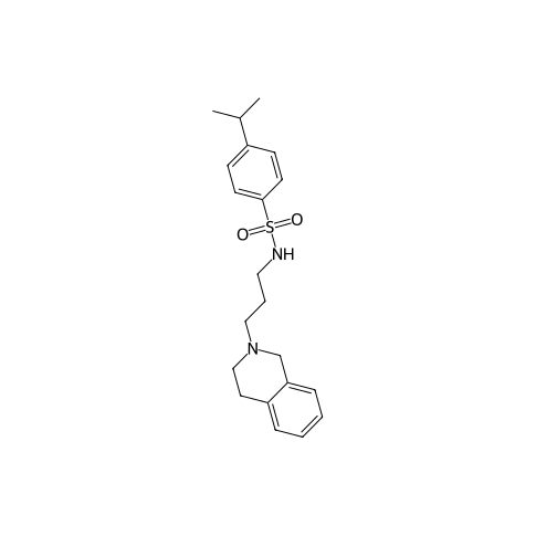 CC(C)c1ccc(S(=O)(=O)NCCCN2CCc3ccccc3C2)cc1